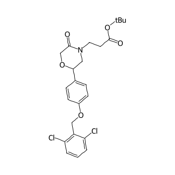 CC(C)(C)OC(=O)CCN1CC(c2ccc(OCc3c(Cl)cccc3Cl)cc2)OCC1=O